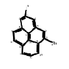 Brc1cc2cc(I)cc3ccc4cccc1c4c32